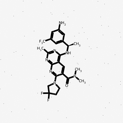 Cc1nc(N[C@H](C)c2cc(N)cc(C(F)(F)F)c2)c2cc(C(=O)N(C)C)c(N3CCC(F)(F)C3)nc2n1